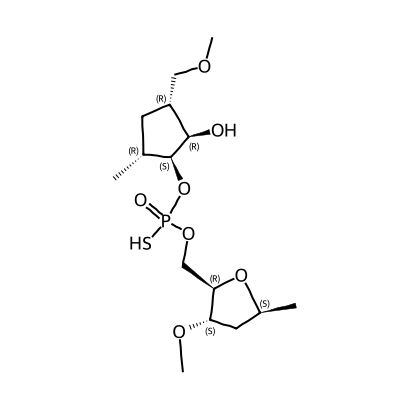 COC[C@H]1C[C@@H](C)[C@H](OP(=O)(S)OC[C@H]2O[C@@H](C)C[C@@H]2OC)[C@@H]1O